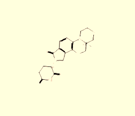 O=C1CC[C@@H](N2Cc3c(ccc4c3OC[C@H]3CNCCN43)C2=O)C(=O)N1